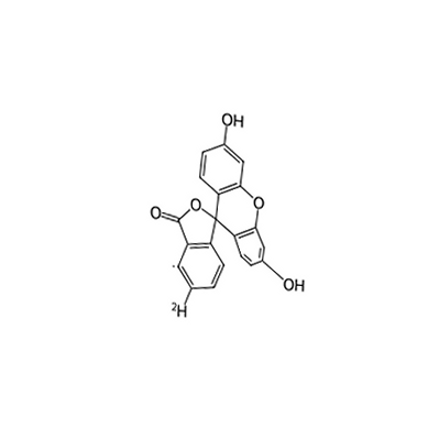 [2H]c1[c]c2c(cc1)C1(OC2=O)c2ccc(O)cc2Oc2cc(O)ccc21